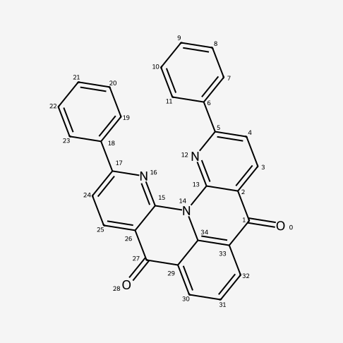 O=c1c2ccc(-c3ccccc3)nc2n2c3nc(-c4ccccc4)ccc3c(=O)c3cccc1c32